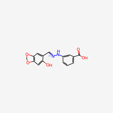 O=C(O)c1cccc(N/N=C/c2cc3c(cc2O)OCO3)c1